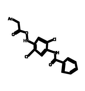 CC(=O)CC(=O)ONc1cc(Cl)c(NC(=O)c2ccccc2)cc1Cl